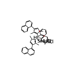 CC1=[C]([Hf](=[SiH2])([C]2=C(C)C(c3cccc4ccccc34)=CC2C)([c]2ccccc2)[c]2ccccc2)C(C)C=C1c1cccc2ccccc12.Cl.Cl